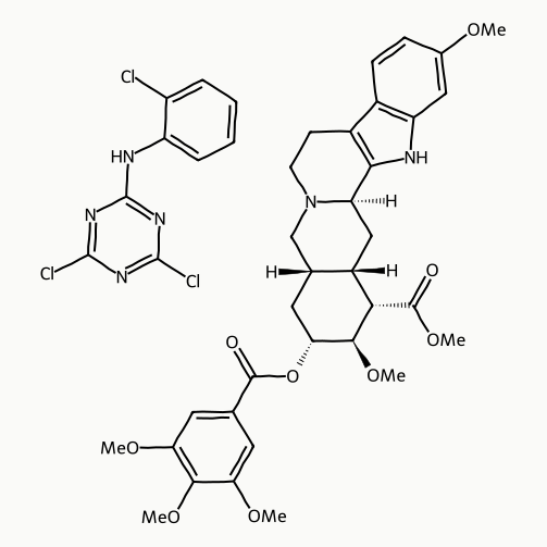 COC(=O)[C@H]1[C@H]2C[C@@H]3c4[nH]c5cc(OC)ccc5c4CCN3C[C@H]2C[C@@H](OC(=O)c2cc(OC)c(OC)c(OC)c2)[C@@H]1OC.Clc1nc(Cl)nc(Nc2ccccc2Cl)n1